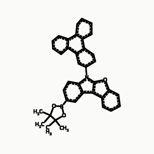 CC1(C)OB(c2ccc3c(c2)c2c4ccccc4oc2n3-c2ccc3c4ccccc4c4ccccc4c3c2)OC1(C)C